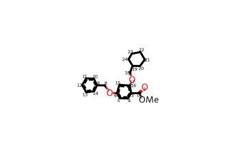 COC(=O)c1ccc(OCc2ccccc2)cc1OCC1CCCCC1